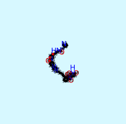 O=C(/C=C/c1cccnc1)NCCCCC1CCN(C(=O)c2ccc(N3CCN(CCCCC#Cc4cccc5c4C(=O)N(C4CCC(=O)NC4=O)C5=O)CC3)cc2)CC1